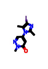 Cc1nc(I)c(C)n1-c1cnn(C)c(=O)c1